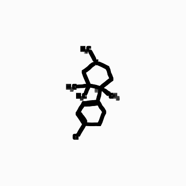 CN1CC[C@](C)(C2=CC=C(Cl)CC2)C(C)(C)C1